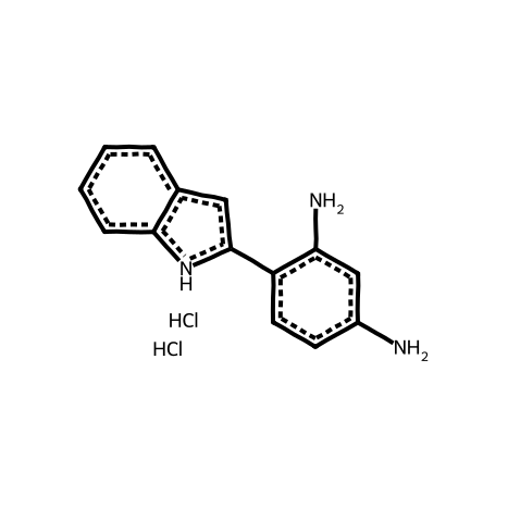 Cl.Cl.Nc1ccc(-c2cc3ccccc3[nH]2)c(N)c1